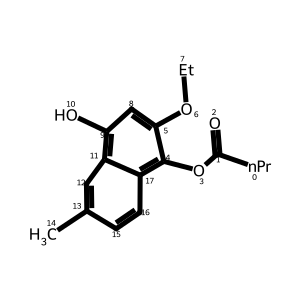 CCCC(=O)Oc1c(OCC)cc(O)c2cc(C)ccc12